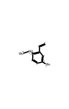 C=Cc1cc(C(C)(C)C)ccc1NC(C)(C)C